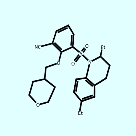 CCc1ccc2c(c1)CCC(CC)N2S(=O)(=O)c1cccc(C#N)c1OCC1CCOCC1